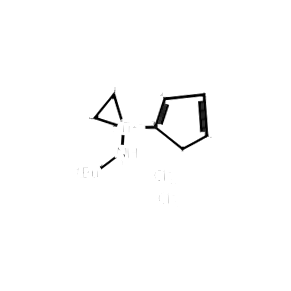 CC(C)(C)[NH][Ti+2]1([C]2=CC=CC2)[CH2][CH2]1.[Cl-].[Cl-]